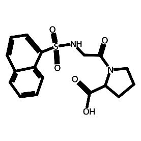 O=C(O)C1CCCN1C(=O)CNS(=O)(=O)c1cccc2ccccc12